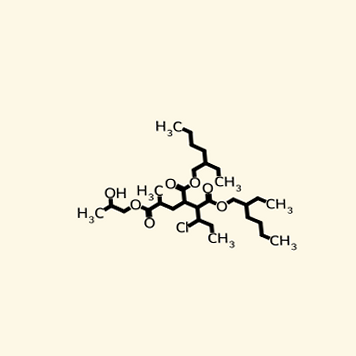 CCCCC(CC)COC(=O)C(CC(C)C(=O)OCC(C)O)C(C(=O)OCC(CC)CCCC)C(Cl)CC